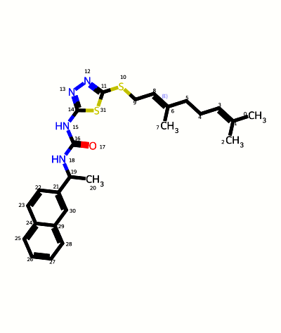 CC(C)=CCC/C(C)=C/CSc1nnc(NC(=O)NC(C)c2ccc3ccccc3c2)s1